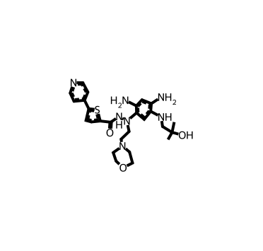 CC(C)(O)CNc1cc(N(CCN2CCOCC2)NC(=O)c2ccc(-c3ccncc3)s2)c(N)cc1N